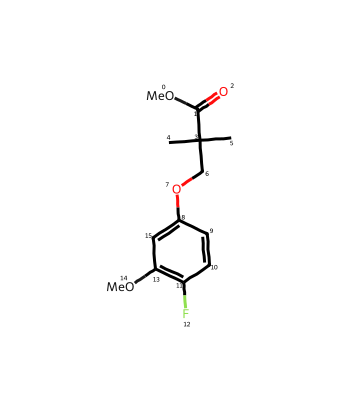 COC(=O)C(C)(C)COc1ccc(F)c(OC)c1